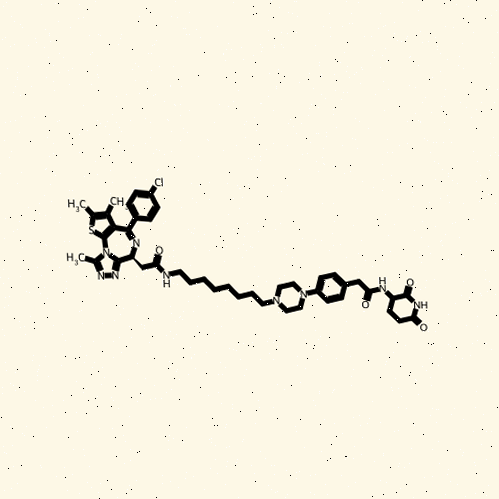 Cc1sc2c(c1C)C(c1ccc(Cl)cc1)=N[C@@H](CC(=O)NCCCCCCCCN1CCN(c3ccc(CC(=O)NC4CCC(=O)NC4=O)cc3)CC1)c1nnc(C)n1-2